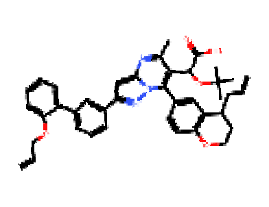 C=CCOc1ccccc1-c1cccc(-c2cc3nc(C)c(C(OC(C)(C)C)C(=O)O)c(-c4ccc5c(c4)C(CC=C)CCO5)n3n2)c1